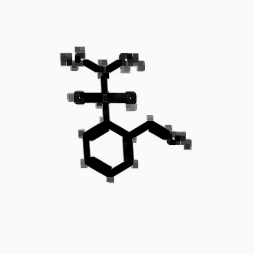 C=Cc1ccccc1S(=O)(=O)N(C)C